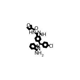 Nc1nn(C(c2ccc(Cl)cc2)c2ccc3c(NC(=O)c4ccoc4)n[nH]c3c2)c2ccccc12